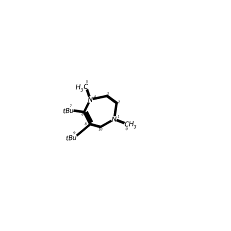 CN1CCN(C)C(C(C)(C)C)=C(C(C)(C)C)C1